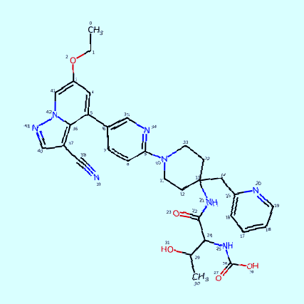 CCOc1cc(-c2ccc(N3CCC(Cc4ccccn4)(NC(=O)C(NC(=O)O)C(C)O)CC3)nc2)c2c(C#N)cnn2c1